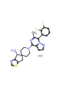 Cc1nc(N2CCC3(CC2)Cc2scnc2[C@H]3N)c2ccnn2c1-c1cccc(F)c1F.Cl